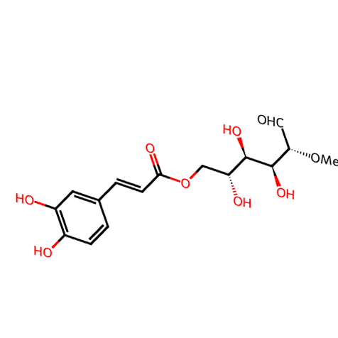 CO[C@@H](C=O)[C@@H](O)[C@H](O)[C@H](O)COC(=O)C=Cc1ccc(O)c(O)c1